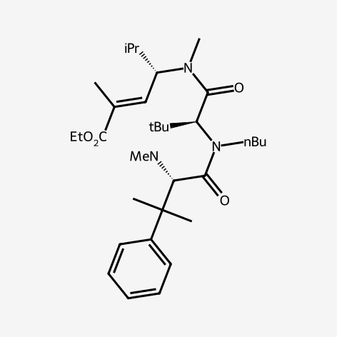 CCCCN(C(=O)[C@@H](NC)C(C)(C)c1ccccc1)[C@H](C(=O)N(C)[C@H](/C=C(\C)C(=O)OCC)C(C)C)C(C)(C)C